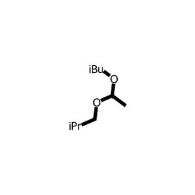 CCC(C)O[C](C)OCC(C)C